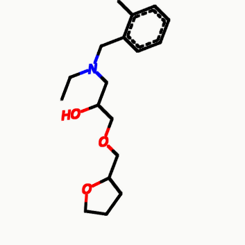 CCN(Cc1ccccc1C)CC(O)COCC1CCCO1